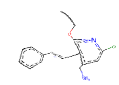 CCOc1nc(Cl)cc(N)c1/C=C/c1ccccc1